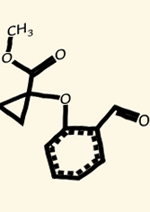 COC(=O)C1(Oc2ccccc2C=O)CC1